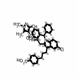 Cc1nn(C)c(C)c1S(=O)(=O)NCCc1c(CCCc2ccc(C(=O)O)cc2)c2cc(Cl)ccc2n1C(c1ccccc1)c1ccccc1